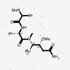 CC[C@H](C)[C@@H]([C@@H](CC(N)=O)OC)N(C)C(=O)[C@@H](NC(=O)C(NC)C(C)C)C(C)C